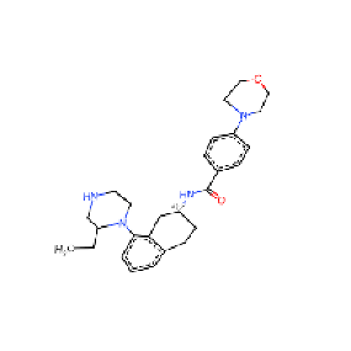 CCC1CNCCN1c1cccc2c1C[C@H](NC(=O)c1ccc(N3CCOCC3)cc1)CC2